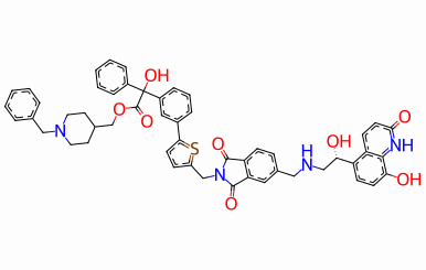 O=C1c2ccc(CNC[C@H](O)c3ccc(O)c4[nH]c(=O)ccc34)cc2C(=O)N1Cc1ccc(-c2cccc(C(O)(C(=O)OCC3CCN(Cc4ccccc4)CC3)c3ccccc3)c2)s1